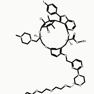 COCCOCCOCCOC[C@@H]1CN(c2nccc(COc3ccc4cc3C[C@H](C(=O)OC(C)(C)C)Oc3ncnc5sc(-c6ccc(F)cc6)c(c35)-c3c(C)c(Cl)c(c(Cl)c3C)O[C@H](CN3CCN(C)CC3)CO4)n2)CCO1